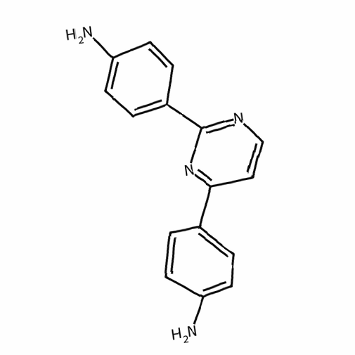 Nc1ccc(-c2ccnc(-c3ccc(N)cc3)n2)cc1